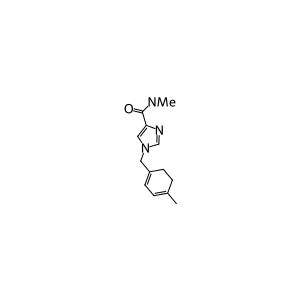 CNC(=O)c1cn(CC2=CC=C(C)CC2)cn1